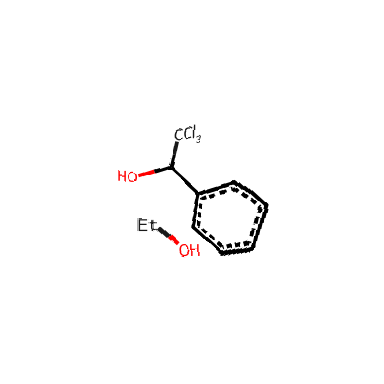 CCO.OC(c1ccccc1)C(Cl)(Cl)Cl